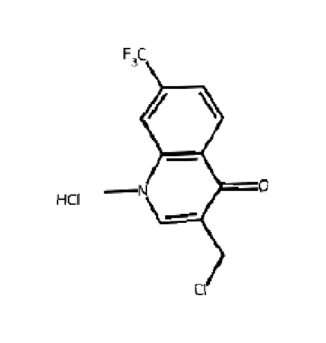 Cl.Cn1cc(CCl)c(=O)c2ccc(C(F)(F)F)cc21